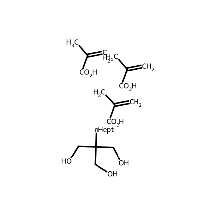 C=C(C)C(=O)O.C=C(C)C(=O)O.C=C(C)C(=O)O.CCCCCCCC(CO)(CO)CO